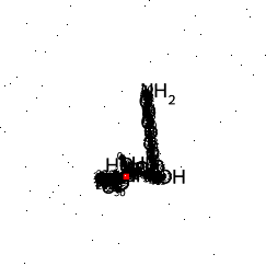 CCCO[C@H](C[C@H](C(C)C)N(CCC)C(=O)[C@@H](NC(=O)[C@H]1CCCCN1C)[C@@H](C)CC)c1nc(C(=O)N[C@H]2Cc3ccc(O)cc3[C@H](C(=O)NCCOCCOCCOCCOCCOCCOCCN)C2)cs1